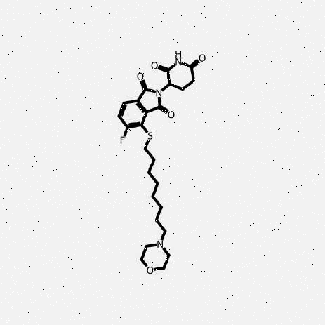 O=C1CCC(N2C(=O)c3ccc(F)c(SCCCCCCCCN4CCOCC4)c3C2=O)C(=O)N1